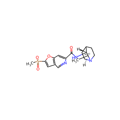 C[C@H]1[C@H](NC(=O)c2cc3oc(S(C)(=O)=O)cc3cn2)C2CCN1CC2